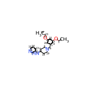 CCOc1cc(CN2CCC(Nc3cccnc3)CC2)cc(OCC)c1